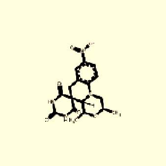 CC1CN2c3ccc([N+](=O)[O-])cc3CC3(C(=O)NC(=O)NC3=O)[C@H]2C(C)O1